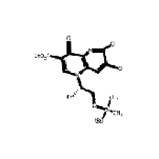 CCOC(=O)c1cn([C@H](CO[Si](C)(C)C(C)(C)C)C(C)C)c2cc(Cl)c(Cl)nc2c1=O